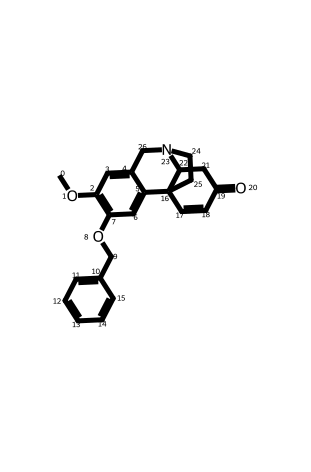 COc1cc2c(cc1OCc1ccccc1)C13C=CC(=O)CC1N(CC3)C2